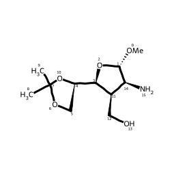 CO[C@H]1O[C@H]([C@H]2COC(C)(C)O2)[C@H](CO)[C@@H]1N